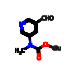 CN(C(=O)OC(C)(C)C)c1cncc(C=O)c1